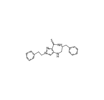 S=C1NC(Cc2ccccc2)CNc2cn(CCc3ccccc3)nc21